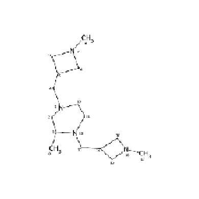 CC1CN(CC2CN(C)C2)CCN1CC1CN(C)C1